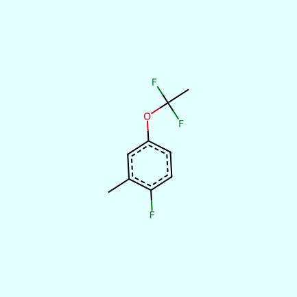 Cc1cc(OC(C)(F)F)ccc1F